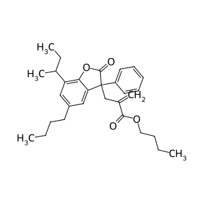 C=C(CC1(c2ccccc2)C(=O)Oc2c(C(C)CC)cc(CCCC)cc21)C(=O)OCCCC